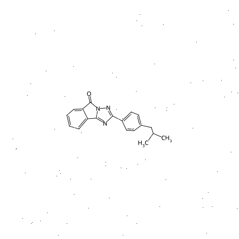 CC(C)Cc1ccc(-c2nc3n(n2)C(=O)c2ccccc2-3)cc1